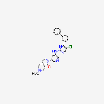 CN1CCC2(CC1)CCN(c1cncc(Nc3ncc(Cl)c(-c4cccc(-c5ccccc5)c4)n3)c1)C2=O